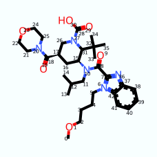 COCCCCn1c(C(=O)N(CC(C)C)[C@H]2C[C@@H](C(=O)N3CCOCC3)CN(C(=O)O)C2C(C)(C)C)nc2ccccc21